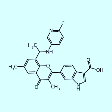 Cc1cc(C(C)Nc2ccc(Cl)nc2)c2oc(-c3ccc4c(C(=O)O)c[nH]c4c3)c(C)c(=O)c2c1